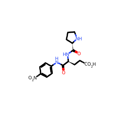 O=C(O)CC[C@H](NC(=O)[C@@H]1CCCN1)C(=O)Nc1ccc([N+](=O)[O-])cc1